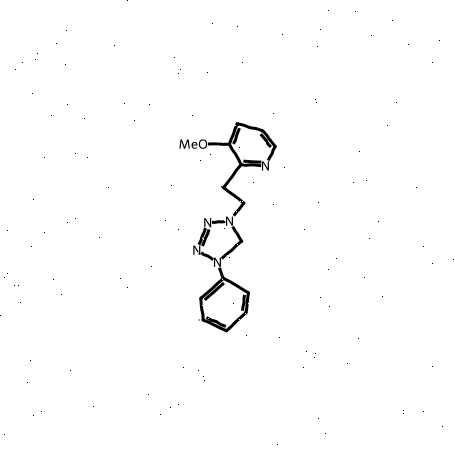 COc1cccnc1CCN1CN(c2c[c]ccc2)N=N1